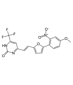 COc1ccc(-c2ccc(/C=C/c3cc(C(F)(F)F)[nH]c(=O)n3)o2)c([N+](=O)[O-])c1